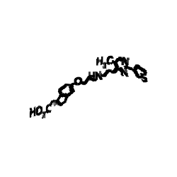 Cc1cnc(-c2ccsc2)nc1CCCNCCCOc1ccc2c(c1)CC[C@H]2CC(=O)O